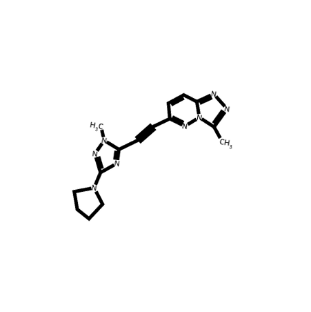 Cc1nnc2ccc(C#Cc3nc(N4CCCC4)nn3C)nn12